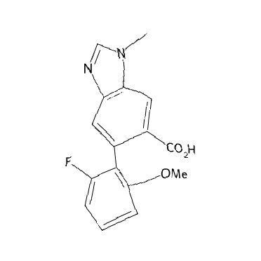 COc1cccc(F)c1-c1cc2ncn(C)c2cc1C(=O)O